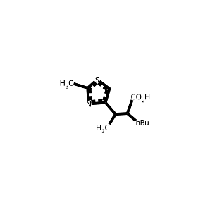 CCCCC(C(=O)O)C(C)c1csc(C)n1